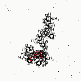 CC(C)OC(=O)[C@H](C)NP(=O)(Oc1ccccc1)OC(C)(C)[C@H]1O[C@@H](n2cnc3c(=O)[nH]c(NC(C)OC(=O)[C@H](C)N[P@@](=O)(Oc4ccccc4)OC(C)(C)[C@H]4O[C@@H](n5cnc6c(=O)[nH]c(NC(C)OC(=O)[C@H](C)N[P@](=O)(Oc7ccccc7)OC(C)(C)[C@H]7O[C@@H](n8cnc9c(=O)[nH]c(N)nc98)[C@@](O)(CF)C7O)nc65)[C@@](O)(CF)C4O)nc32)[C@@](O)(CF)C1O